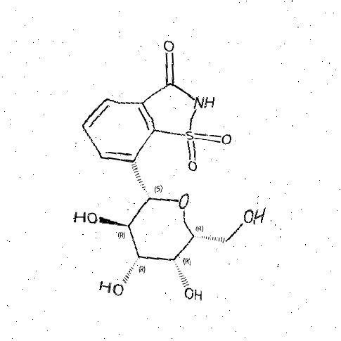 O=C1NS(=O)(=O)c2c1cccc2[C@@H]1O[C@H](CO)[C@H](O)[C@H](O)[C@H]1O